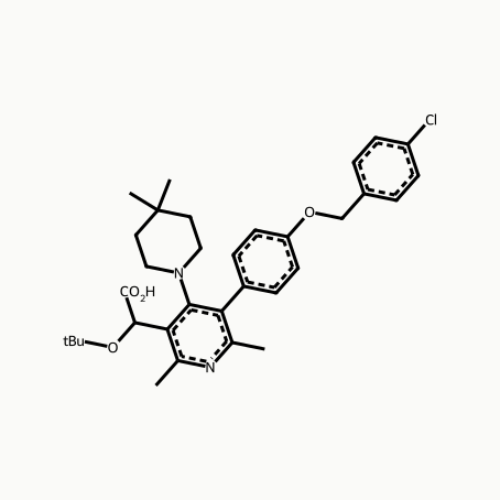 Cc1nc(C)c(C(OC(C)(C)C)C(=O)O)c(N2CCC(C)(C)CC2)c1-c1ccc(OCc2ccc(Cl)cc2)cc1